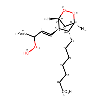 CCCCCC(C=C[C@@H]1[C@@H](CCCCCCC(=O)O)[C@H]2C[C@H]1OO2)OO